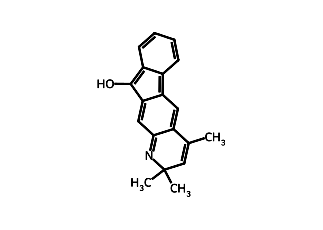 CC1=CC(C)(C)N=c2cc3c(cc21)=c1ccccc1=C3O